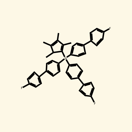 CC1=C(C)C(C)C([Si](c2ccc(-c3ccc(F)cc3)cc2)(c2ccc(-c3ccc(F)cc3)cc2)c2ccc(-c3ccc(F)cc3)cc2)=C1C